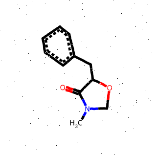 CN1COC(Cc2ccccc2)C1=O